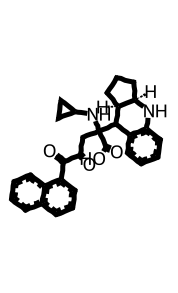 O=C(CC(NC1CC1)(C(=O)O)C1c2ccccc2N[C@@H]2CCC[C@H]12)C(=O)c1cccc2ccccc12